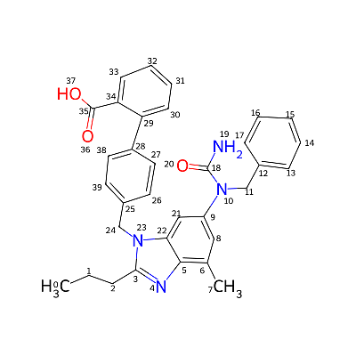 CCCc1nc2c(C)cc(N(Cc3ccccc3)C(N)=O)cc2n1Cc1ccc(-c2ccccc2C(=O)O)cc1